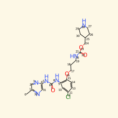 Cc1cnc(NC(=O)Nc2cc(Cl)ccc2OCCCNC(=O)OCC2CCNCC2)cn1